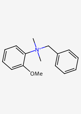 COc1ccccc1[N+](C)(C)Cc1ccccc1